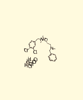 CN(CCO[N+](C)(C)Cc1ccc(Cl)c(Cl)c1)Cc1ccccc1.Cl.Cl.O.O